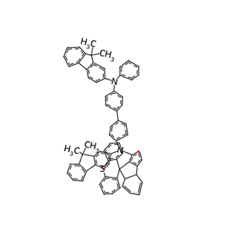 CC1(C)c2ccccc2-c2ccc(N(c3ccccc3)c3ccc(-c4ccc(N(c5ccc6c(c5)C(C)(C)c5ccccc5-6)c5cccc6c5C5(c7ccccc7Sc7ccccc75)C5C=CC=CC65)cc4)cc3)cc21